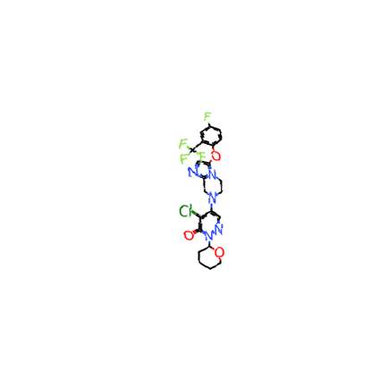 O=c1c(Cl)c(N2CCn3c(Oc4ccc(F)cc4C(F)(F)F)cnc3C2)cnn1C1CCCCO1